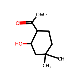 COC(=O)C1CCC(C)(C)CC1O